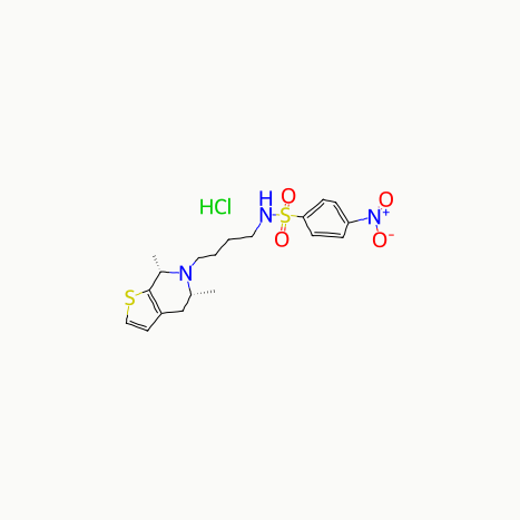 C[C@@H]1Cc2ccsc2[C@H](C)N1CCCCNS(=O)(=O)c1ccc([N+](=O)[O-])cc1.Cl